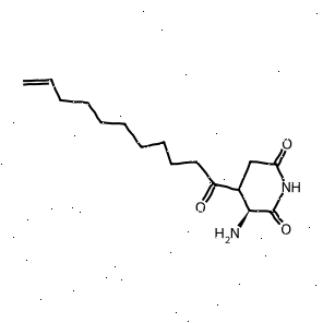 C=CCCCCCCCCC(=O)C1CC(=O)NC(=O)[C@H]1N